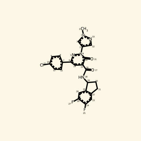 Cn1cc(-n2nc(-c3ccc(Cl)cc3)cc(C(=O)NC3CCc4cc(F)c(F)cc43)c2=O)cn1